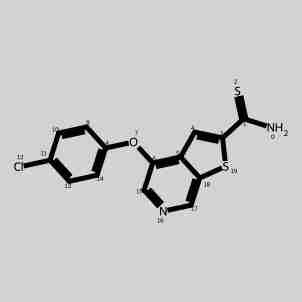 NC(=S)c1cc2c(Oc3ccc(Cl)cc3)cncc2s1